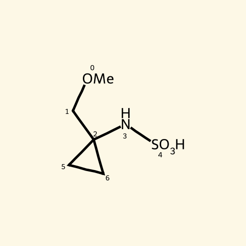 COCC1(NS(=O)(=O)O)CC1